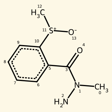 CN(N)C(=O)c1ccccc1[S+](C)[O-]